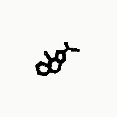 CNC(=O)c1cc2c(=O)c3ccccc3ccn2c1